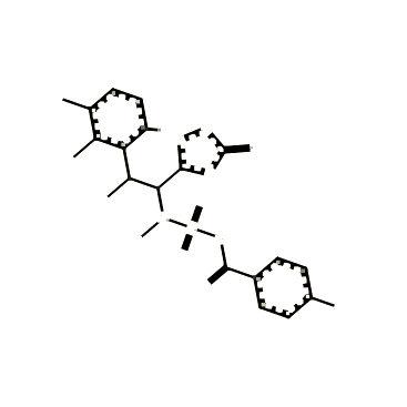 Cc1ccc(F)c(C(C)C(c2n[nH]c(=O)o2)N(C)S(=O)(=O)NC(=O)c2ccc(Cl)cc2)c1C